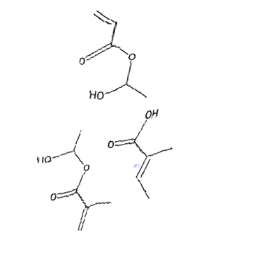 C/C=C(\C)C(=O)O.C=C(C)C(=O)OC(C)O.C=CC(=O)OC(C)O